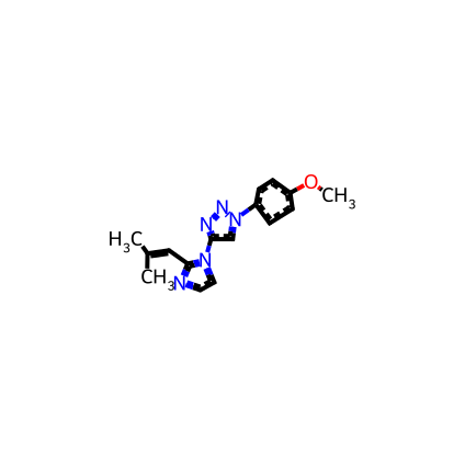 COc1ccc(-n2cc(-n3ccnc3C=C(C)C)nn2)cc1